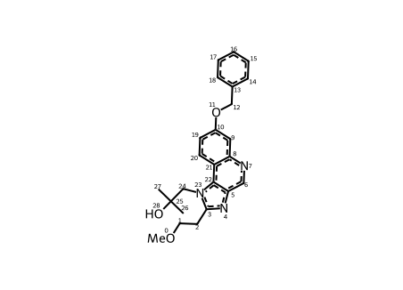 COCCc1nc2cnc3cc(OCc4ccccc4)ccc3c2n1CC(C)(C)O